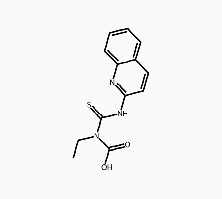 CCN(C(=O)O)C(=S)Nc1ccc2ccccc2n1